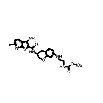 Cc1ccc2c(N)c(C(=O)NC3COc4cc(NCCNC(=O)OC(C)(C)C)ccc4C3)sc2n1